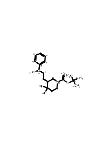 CC(C)(C)OC(=O)N1CCC(F)(F)C(CC[S+]([O-])c2ccccc2)C1